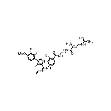 C=C/N=C(/Nc1ccc(C(=O)NCCNC(=O)[C@@H](N)CCNC(=N)N)c(CC)c1)c1ncc(-c2ccc(OC)c(F)c2F)n1C